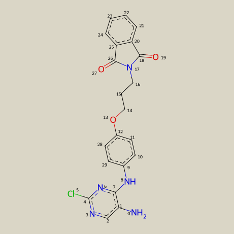 Nc1cnc(Cl)nc1Nc1ccc(OCCCN2C(=O)c3ccccc3C2=O)cc1